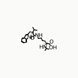 CC(C)N[C@@H](CCCCNC(=O)[C@@H](Cc1cc2ccccc2[nH]1)C(C)C)C(=O)O